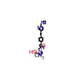 C[C@H](O)c1nccn1Cc1cc(-c2ccc(C#Cc3ccc(CN4CCC4)nc3)cc2)on1